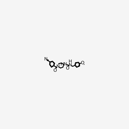 COc1ccc(CNC(=O)NC2CCN(C(=O)c3ccc(C#N)cc3)CC2)cc1